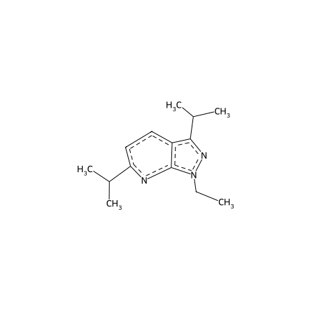 CCn1nc(C(C)C)c2ccc(C(C)C)nc21